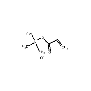 C=CC(=O)O[N+](C)(C)CCCC.[Cl-]